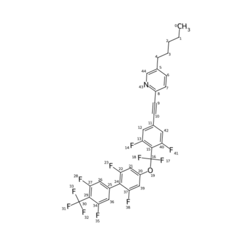 CCCCCc1ccc(C#Cc2cc(F)c(C(F)(F)Oc3cc(F)c(-c4cc(F)c(C(F)(F)F)c(F)c4)c(F)c3)c(F)c2)nc1